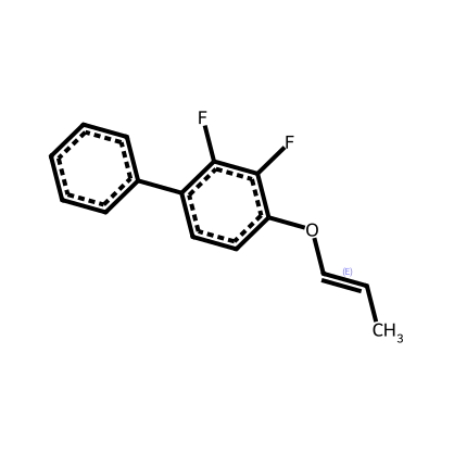 C/C=C/Oc1ccc(-c2ccccc2)c(F)c1F